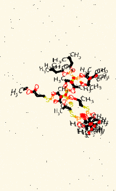 CCOC(=O)CCSP(OC(C)CSP(OC(C)CSP(OC(C)CC(C)C)OC(C)CC(C)C)OC(C)CSP(OC(C)CC(C)C)OC(C)CC(C)C)OC(C)CSP(=S)(OC(C)CSP(OC(C)CC(C)C)OC(C)CC(C)C)OC(C)CSP(OC(C)CC(C)C)OC(C)CC(C)C